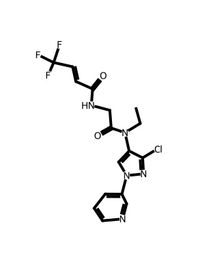 CCN(C(=O)CNC(=O)/C=C/C(F)(F)F)c1cn(-c2cccnc2)nc1Cl